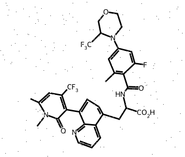 Cc1cc(N2CCOCC2C(F)(F)F)cc(F)c1C(=O)NC(Cc1ccc(-c2c(C(F)(F)F)cc(C)n(C)c2=O)c2ncccc12)C(=O)O